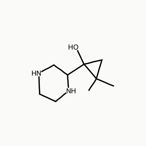 CC1(C)CC1(O)C1CNCCN1